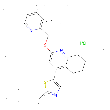 Cc1ncc(-c2cc(OCc3ccccn3)nc3c2CCCC3)s1.Cl